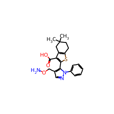 CC1(C)CCc2sc(-c3c(CON)cnn3-c3ccccc3)c(C(=O)O)c2C1